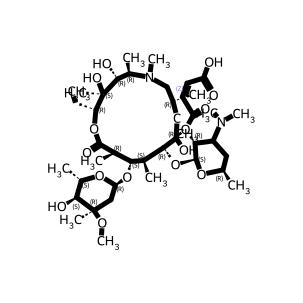 CC[C@H]1OC(=O)[C@H](C)[C@@H](O[C@H]2C[C@@](C)(OC)[C@@H](O)[C@H](C)O2)[C@H](C)[C@@H](O[C@@H]2O[C@H](C)CC(N(C)C)[C@H]2OC(=O)/C=C\C(=O)O)[C@](C)(O)C[C@@H](C)CN(C)[C@H](C)[C@@H](O)[C@]1(C)O